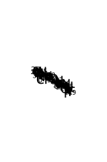 Cn1c(-c2ccc(OCc3ccc(-c4nnc(C(F)F)o4)cn3)cc2)nc2ccccc21